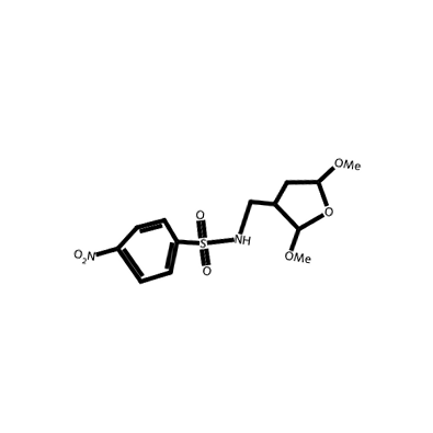 COC1CC(CNS(=O)(=O)c2ccc([N+](=O)[O-])cc2)C(OC)O1